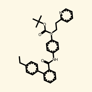 CCc1ccc(-c2ccccc2C(=O)Nc2ccc(N(CCc3ccccn3)C(=O)OC(C)(C)C)cc2)cc1